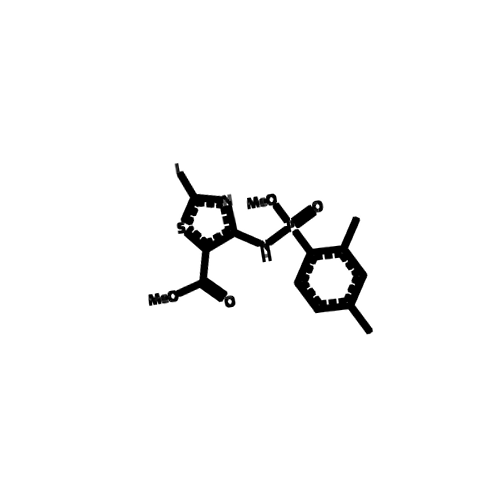 COC(=O)c1sc(I)nc1NP(=O)(OC)c1ccc(C)cc1C